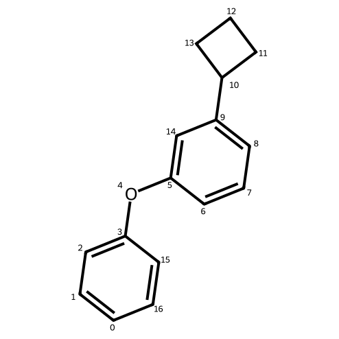 c1ccc(Oc2cccc(C3CCC3)c2)cc1